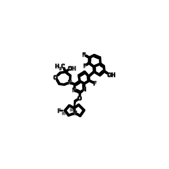 CC1(O)COCCN(c2nc(OC[C@@]34CCCN3C[C@H](F)C4)nc3c(F)c(-c4cc(O)cc5ccc(F)c(F)c45)ccc23)C1